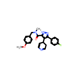 COc1ccc(CN(C)C(=O)c2[nH]nc(-c3ccc(F)cc3)c2C2C=CN=CC2)cc1